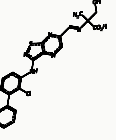 CC(CO)(N=Cc1cnc2c(Nc3cccc(-c4ccccc4)c3Cl)nsc2n1)C(=O)O